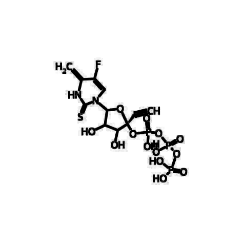 C#C[C@]1(OP(=O)(O)OP(=O)(O)OP(=O)(O)O)OC(N2C=C(F)C(=C)NC2=S)C(O)C1O